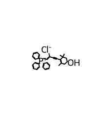 CC1=C(C#C/C(C)=C/C[P+](c2ccccc2)(c2ccccc2)c2ccccc2)C(C)(C)CC(O)C1.[Cl-]